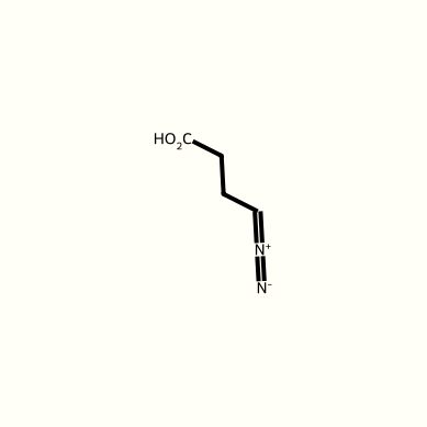 [N-]=[N+]=CCCC(=O)O